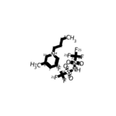 CCCCN1C=CC=C(C)C1.O=S(=O)(NS(=O)(=O)C(F)(F)F)C(F)(F)F